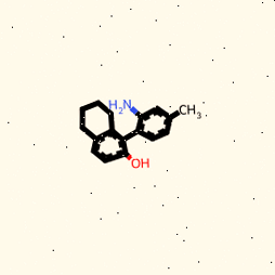 Cc1ccc(-c2c(O)ccc3c2CCCC3)c(N)c1